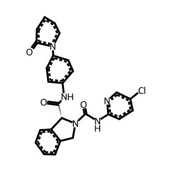 O=C(Nc1ccc(-n2ccccc2=O)cc1)[C@H]1c2ccccc2CN1C(=O)Nc1ccc(Cl)cn1